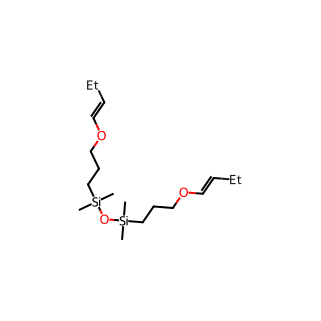 CCC=COCCC[Si](C)(C)O[Si](C)(C)CCCOC=CCC